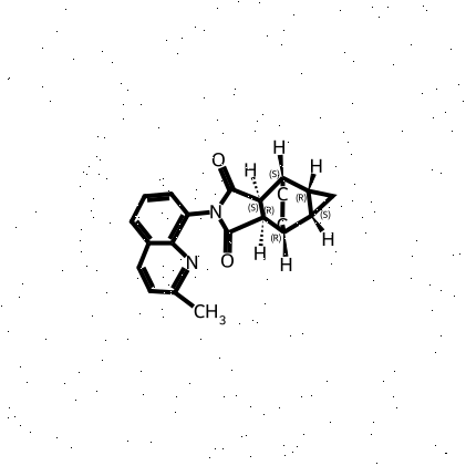 Cc1ccc2cccc(N3C(=O)[C@@H]4[C@@H]5CC[C@@H]([C@@H]6C[C@@H]65)[C@@H]4C3=O)c2n1